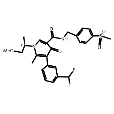 COC[C@@H](C)n1cc(C(=O)NCc2ccc(S(C)(=O)=O)cc2)c(=O)c(-c2cccc(C(F)F)c2)c1C